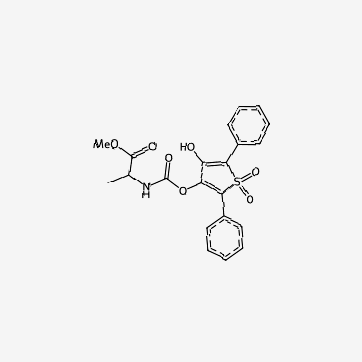 COC(=O)C(C)NC(=O)OC1=C(c2ccccc2)S(=O)(=O)C(c2ccccc2)=C1O